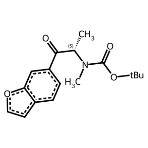 C[C@@H](C(=O)c1ccc2ccoc2c1)N(C)C(=O)OC(C)(C)C